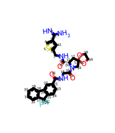 N=C(N)c1csc(CNC(=O)[C@@H]2CC3(CN2C(=O)CNC(=O)c2ccc4c(c2)-c2ccccc2C4(F)F)OCCO3)c1